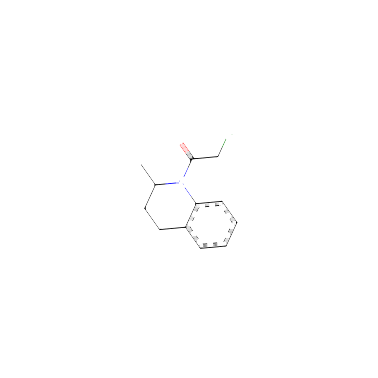 CC1CCc2ccccc2N1C(=O)CBr